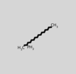 CCCCCCCCCCCCCCCC(P)CC